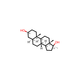 C[C@]12CC[C@H](O)C[C@@H]1CC[C@@H]1[C@@H]2CC[C@@]2(C)[C@H]1CC[C@]2(C)O